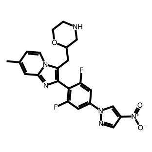 Cc1ccn2c(CC3CNCCO3)c(-c3c(F)cc(-n4cc([N+](=O)[O-])cn4)cc3F)nc2c1